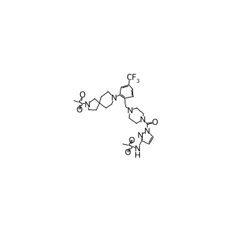 CS(=O)(=O)Nc1ccn(C(=O)N2CCN(Cc3ccc(C(F)(F)F)cc3N3CCC4(CC3)CCN(S(C)(=O)=O)C4)CC2)n1